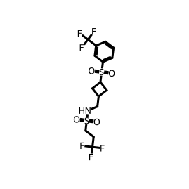 O=S(=O)(CCC(F)(F)F)NCC1CC(S(=O)(=O)c2cccc(C(F)(F)F)c2)C1